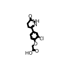 O=C(O)COc1ccc(C2=NNC(=O)CC2)cc1Cl